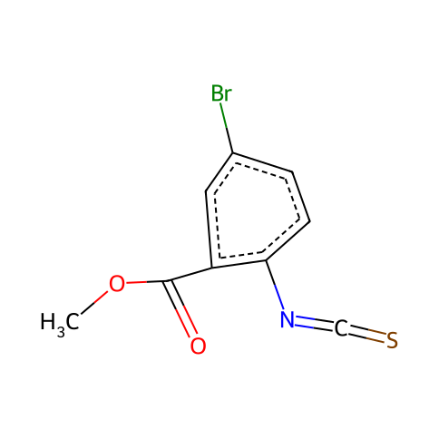 COC(=O)c1cc(Br)ccc1N=C=S